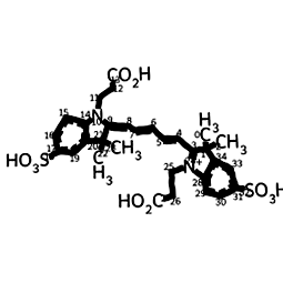 CC1(C)C(/C=C/C=C/C=C2/N(CCC(=O)O)c3ccc(S(=O)(=O)O)cc3C2(C)C)=[N+](CCC(=O)O)c2ccc(S(=O)(=O)O)cc21